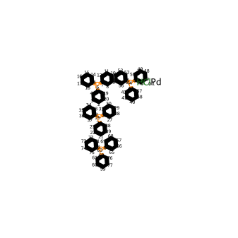 Cl.[Pd].c1ccc(P(c2ccccc2)c2ccccc2)cc1.c1ccc(P(c2ccccc2)c2ccccc2)cc1.c1ccc(P(c2ccccc2)c2ccccc2)cc1.c1ccc(P(c2ccccc2)c2ccccc2)cc1